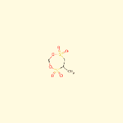 CC1CS(=O)(=O)OCOS1(=O)=O